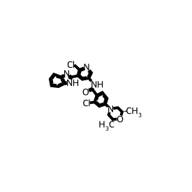 C[C@@H]1CN(c2ccc(C(=O)Nc3cnc(Cl)c(-c4nc5ccccc5[nH]4)c3)c(Cl)c2)C[C@H](C)O1